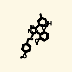 COc1ccc(CSc2nnc(C3=CNCC(C)=C3)n2-c2c(OC)cccc2OC)cc1